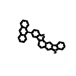 c1ccc2c(-c3ccc4sc5c6cc7c(cc6ccc5c4c3)sc3ccccc37)c3ccccc3cc2c1